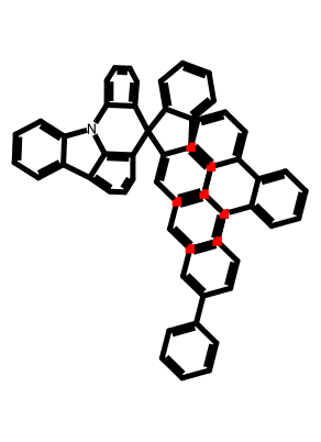 c1ccc(-c2ccc(N(c3ccc4c(c3)-c3ccccc3C43c4ccccc4-n4c5ccccc5c5cccc3c54)c3ccccc3-c3ccccc3-c3ccccc3)cc2)cc1